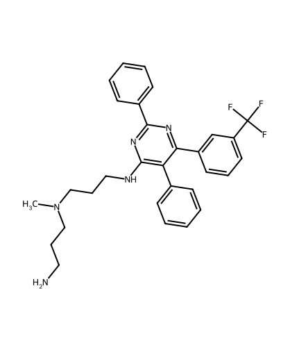 CN(CCCN)CCCNc1nc(-c2ccccc2)nc(-c2cccc(C(F)(F)F)c2)c1-c1ccccc1